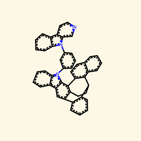 c1cc(-n2c3ccccc3c3ccncc32)cc(-n2c3ccccc3c3cc4c5c(c32)-c2ccc3ccccc3c2C(CC5)c2ccccc2-4)c1